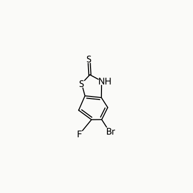 Fc1cc2sc(=S)[nH]c2cc1Br